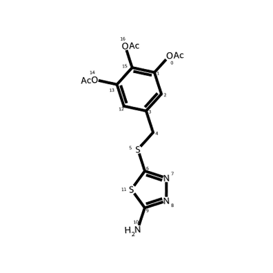 CC(=O)Oc1cc(CSc2nnc(N)s2)cc(OC(C)=O)c1OC(C)=O